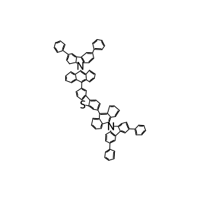 C1=C(c2ccccc2)C=C2c3cc(-c4ccccc4)ccc3N(c3c4ccccc4c(-c4ccc5sc6cc(-c7c8ccccc8c(-n8c9ccc(-c%10ccccc%10)cc9c9cc(-c%10ccccc%10)ccc98)c8ccccc78)ccc6c5c4)c4ccccc34)C2C1